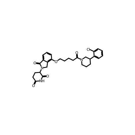 O=C1CCC(N2Cc3c(OCCCCC(=O)N4CCCC(c5ccccc5Cl)C4)cccc3C2=O)C(=O)N1